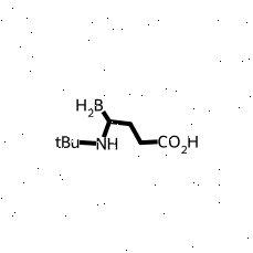 BC(CCC(=O)O)NC(C)(C)C